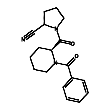 N#CC1CCCN1C(=O)[C@@H]1CCCCN1C(=O)c1ccccc1